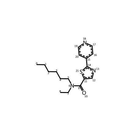 CCCCCCN(CC)C(=O)c1cnc(-c2ccncc2)s1